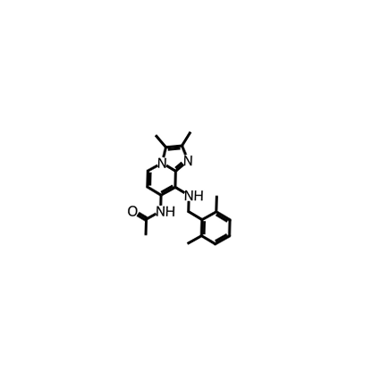 CC(=O)Nc1ccn2c(C)c(C)nc2c1NCc1c(C)cccc1C